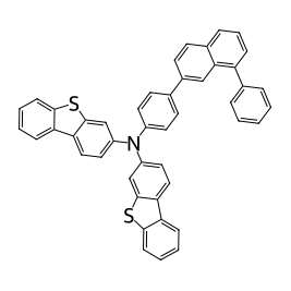 c1ccc(-c2cccc3ccc(-c4ccc(N(c5ccc6c(c5)sc5ccccc56)c5ccc6c(c5)sc5ccccc56)cc4)cc23)cc1